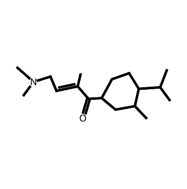 C/C(=C\CN(C)C)C(=O)C1CCC(C(C)C)C(C)C1